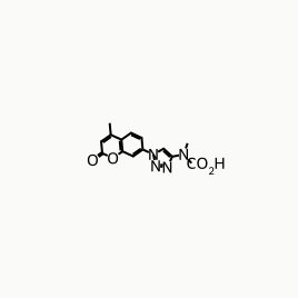 Cc1cc(=O)oc2cc(-n3cc(N(C)C(=O)O)nn3)ccc12